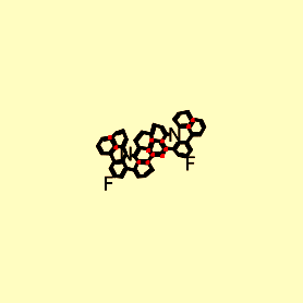 Fc1cc(-c2ccccc2)c(N(c2ccccc2)c2ccc3ccc4c(N(c5ccccc5)c5c(-c6ccccc6)cc(F)cc5-c5ccccc5)ccc5ccc2c3c54)c(-c2ccccc2)c1